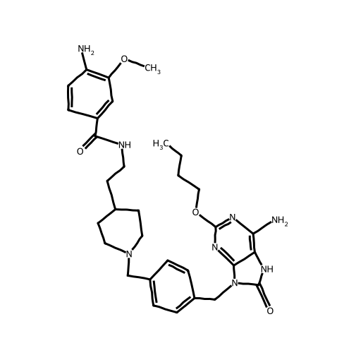 CCCCOc1nc(N)c2[nH]c(=O)n(Cc3ccc(CN4CCC(CCNC(=O)c5ccc(N)c(OC)c5)CC4)cc3)c2n1